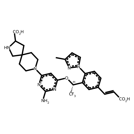 Cc1ccn(-c2ccc(C=CC(=O)O)cc2[C@@H](Oc2cc(N3CCC4(CC3)CNC(C(=O)O)C4)nc(N)n2)C(F)(F)F)n1